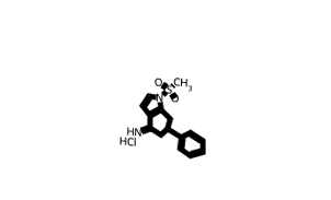 CS(=O)(=O)n1ccc2c1CC(c1ccccc1)CC2=N.Cl